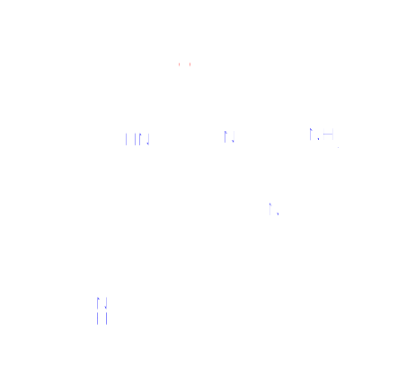 CC(=O)Nc1nc(N)nc2ccc3[nH]ccc3c12